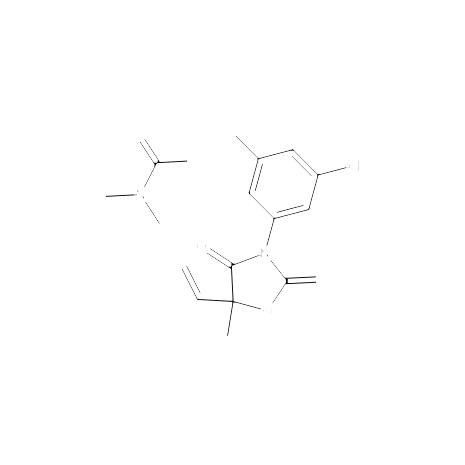 C=CC1(C)OC(=O)N(c2cc(Cl)cc(Cl)c2)C1=O.CN(C)C(=S)S